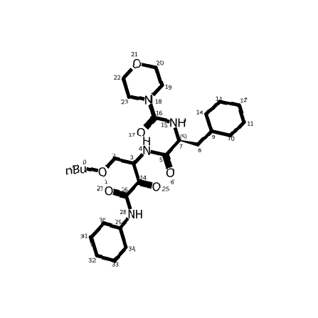 CCCCOCC(NC(=O)[C@H](CC1CCCCC1)NC(=O)N1CCOCC1)C(=O)C(=O)NC1CCCCC1